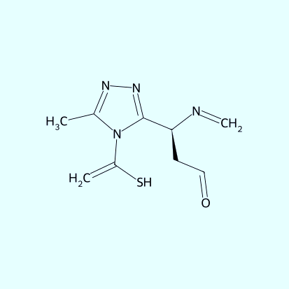 C=N[C@@H](CC=O)c1nnc(C)n1C(=C)S